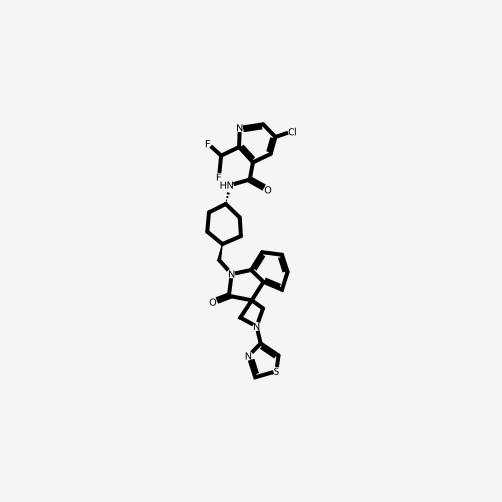 O=C(N[C@H]1CC[C@H](CN2C(=O)C3(CN(c4cscn4)C3)c3ccccc32)CC1)c1cc(Cl)cnc1C(F)F